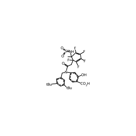 CC(C)(C)c1cc(CN(C(=O)CC2(F)C(F)=C(F)C(F)=C(F)C2(C)N[SH](=O)=O)c2ccc(C(=O)O)c(O)c2)cc(C(C)(C)C)c1